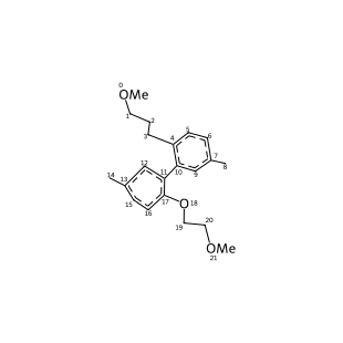 COCCCc1ccc(C)cc1-c1cc(C)ccc1OCCOC